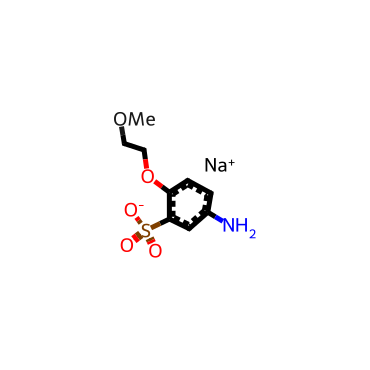 COCCOc1ccc(N)cc1S(=O)(=O)[O-].[Na+]